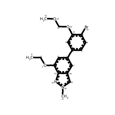 CCOc1cc(-c2ccc(Br)c(OCOC)c2)cc2cn(C)nc12